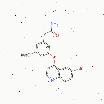 COc1cc(CC(N)=O)cc(Oc2ccnc3ccc(Br)cc23)c1